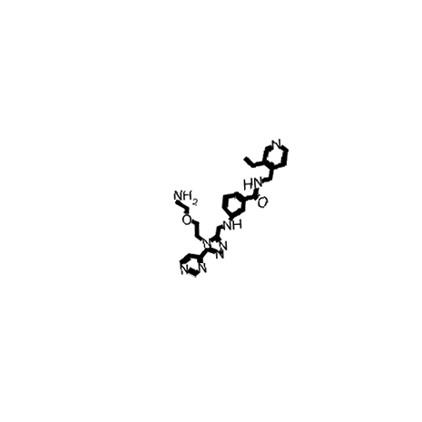 CCc1cnccc1CNC(=O)c1cccc(NCc2nnc(-c3ccncn3)n2CCOCCN)c1